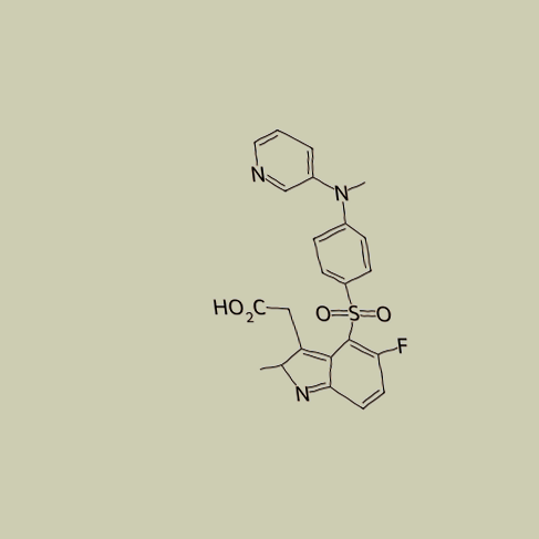 CC1N=c2ccc(F)c(S(=O)(=O)c3ccc(N(C)c4cccnc4)cc3)c2=C1CC(=O)O